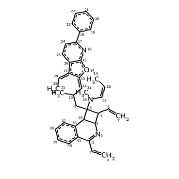 C=CC1=NC2C(C=C)C(CC(C)/C=c3/oc4nc(-c5ccccc5)ccc4/c3=C/C)(N(C)/C=C\C)C2c2ccccc21